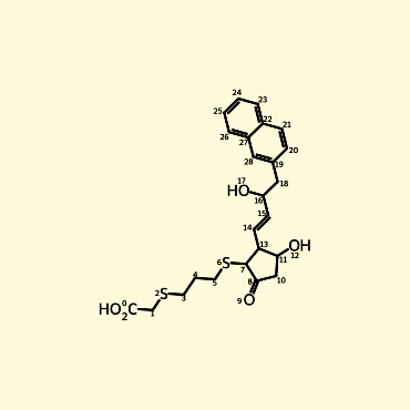 O=C(O)CSCCCSC1C(=O)CC(O)C1C=CC(O)Cc1ccc2ccccc2c1